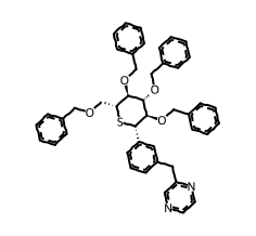 c1ccc(COC[C@H]2S[C@@H](c3cccc(Cc4cnccn4)c3)[C@H](OCc3ccccc3)[C@@H](OCc3ccccc3)[C@@H]2OCc2ccccc2)cc1